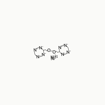 C1C[N-]CC[N-]CC(CCOCCOCCC2C[N-]CC[N-]CCC[N-]CC[N-]C2)C[N-]CC[N-]C1.[Ni+2].[Ni+2]